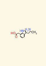 CC(N)Cc1c[nH]c2c(CC(=O)O)cccc12